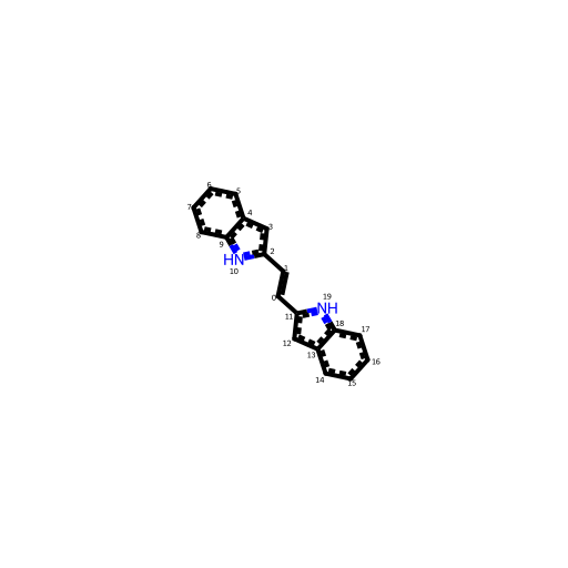 C(=Cc1cc2ccccc2[nH]1)c1cc2ccccc2[nH]1